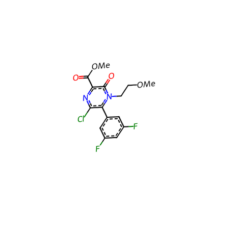 COCCn1c(-c2cc(F)cc(F)c2)c(Cl)nc(C(=O)OC)c1=O